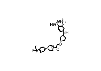 Cc1cc(NC2CCC(OCC(=O)N3CCN(c4ccc(C(F)(F)F)cc4)CC3)CC2)ccc1N(O)O